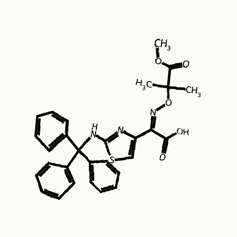 COC(=O)C(C)(C)ON=C(C(=O)O)c1csc(NC(c2ccccc2)(c2ccccc2)c2ccccc2)n1